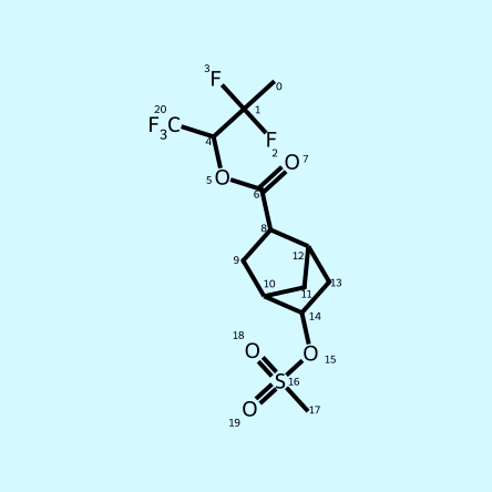 CC(F)(F)C(OC(=O)C1CC2CC1CC2OS(C)(=O)=O)C(F)(F)F